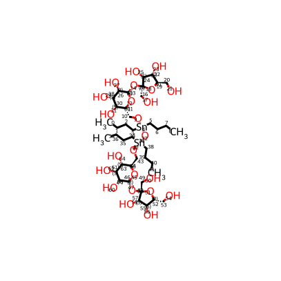 CCC[CH2][Sn]([CH2]CCC)([O]C[C@H]1O[C@H](O[C@]2(CO)O[C@H](CO)[C@@H](O)[C@@H]2O)[C@H](O)[C@@H](O)[C@@H]1O)[O][Sn]([CH2]CCC)([CH2]CCC)[O]C[C@H]1O[C@H](O[C@]2(CO)O[C@H](CO)[C@@H](O)[C@@H]2O)[C@H](O)[C@@H](O)[C@@H]1O